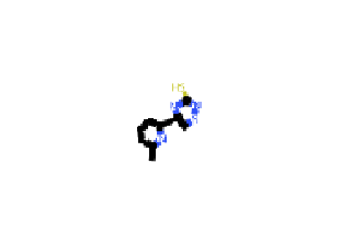 Cc1cccc(-c2cnnc(S)n2)n1